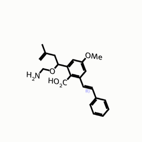 C=C(C)CC(OCN)c1cc(OC)cc(/C=C/c2ccccc2)c1C(=O)O